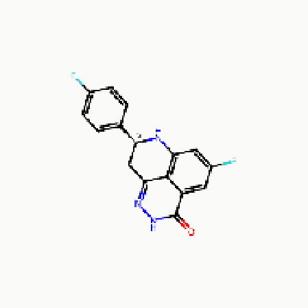 O=c1[nH]nc2c3c(cc(F)cc13)N[C@H](c1ccc(F)cc1)C2